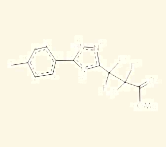 COC(=O)C(F)(F)C(F)(F)c1n[nH]c(-c2ccc(C)cc2)n1